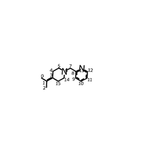 CC(C)=C1CCN(Cc2ccccn2)CC1